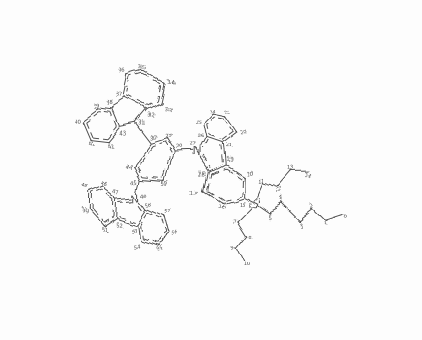 CCCCCC[Si](CCCC)(CCCC)c1ccc2c(c1)c1ccccc1n2-c1cc(C2c3ccccc3-c3ccccc32)cc(-n2c3ccccc3c3ccccc32)c1